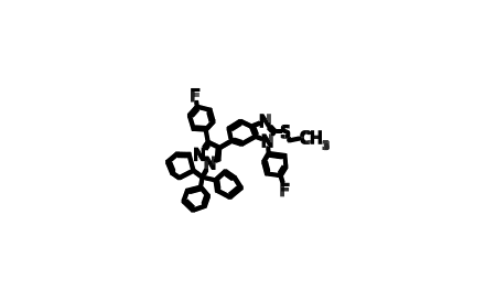 CCSc1nc2ccc(-c3cn(C(c4ccccc4)(c4ccccc4)C4C=CC=CC4)nc3-c3ccc(F)cc3)cc2n1-c1ccc(F)cc1